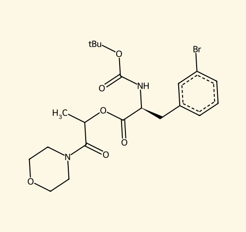 CC(OC(=O)[C@H](Cc1cccc(Br)c1)NC(=O)OC(C)(C)C)C(=O)N1CCOCC1